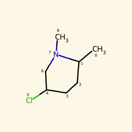 CC1CCC(Cl)CN1C